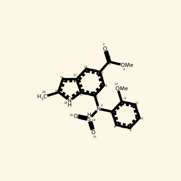 COC(=O)c1cc(N(c2ccccc2OC)[SH](=O)=O)c2[nH]c(C)cc2c1